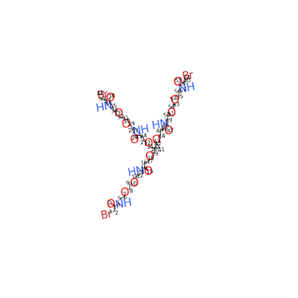 O=C(CBr)NCCOCCOCCNC(=O)CCOCC1(COCCC(=O)NCCOCCOCCNC(=O)CBr)CC1OCCC(=O)NCCOCCOCCNC(=O)CBr